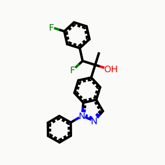 CC(O)(c1ccc2c(cnn2-c2ccccc2)c1)C(F)c1cccc(F)c1